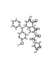 COc1ccc(C(c2ccccc2)c2cn(C)c(=O)c3[nH]c(C(=O)Nc4cnn(C)c4)cc23)cc1